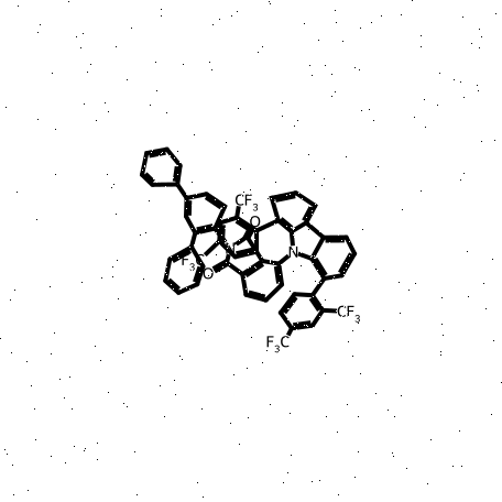 O=C1c2cccc(-n3c4c(-c5ccc(C(F)(F)F)cc5C(F)(F)F)cccc4c4cccc(-c5ccc(C(F)(F)F)cc5C(F)(F)F)c43)c2C(=O)N1c1ccc(-c2ccccc2)cc1-c1ccccc1